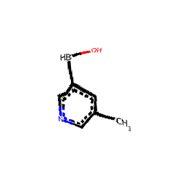 Cc1cncc(BO)c1